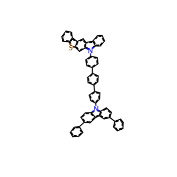 c1ccc(-c2ccc3c(c2)c2cc(-c4ccccc4)ccc2n3-c2ccc(-c3ccc(-c4ccc(-n5c6ccccc6c6cc7c(cc65)sc5ccccc57)cc4)cc3)cc2)cc1